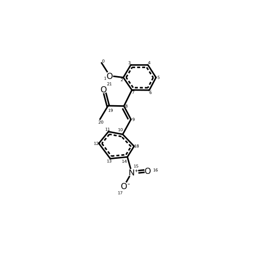 COc1ccccc1/C(=C/c1cccc([N+](=O)[O-])c1)C(C)=O